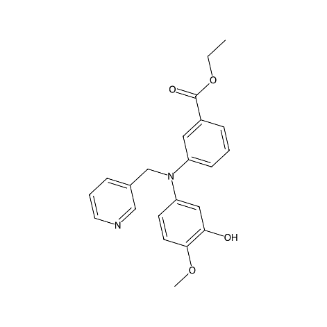 CCOC(=O)c1cccc(N(Cc2cccnc2)c2ccc(OC)c(O)c2)c1